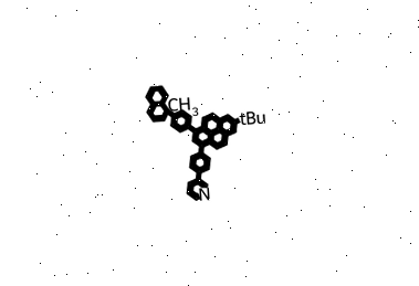 CC(C)(C)c1cc2ccc3c(-c4ccc(-c5cccnc5)cc4)cc(-c4ccc(C5(C)C=CC=C6C=CC=CC65)cc4)c4ccc(c1)c2c34